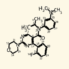 CC(C)N(C(=O)c1cnc(N2CCOCC2)nc1-c1ccccc1F)c1cccc(N(C)C)c1